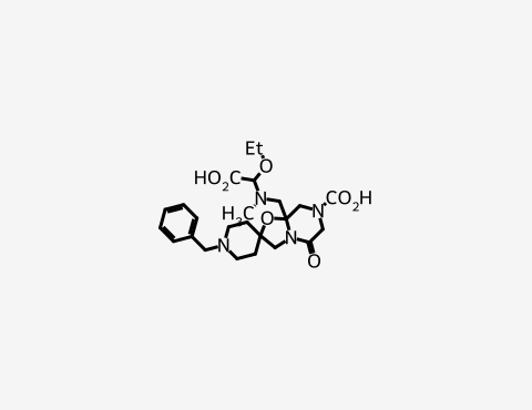 CCOC(C(=O)O)N(C)CC12CN(C(=O)O)CC(=O)N1CC1(CCN(Cc3ccccc3)CC1)O2